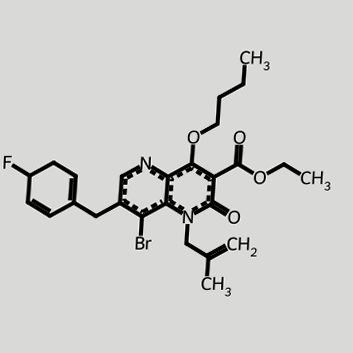 C=C(C)Cn1c(=O)c(C(=O)OCC)c(OCCCC)c2ncc(CC3=CCC(F)C=C3)c(Br)c21